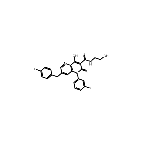 O=C(NCCO)c1c(O)c2ncc(Cc3ccc(F)cc3)cc2n(-c2cccc(F)c2)c1=O